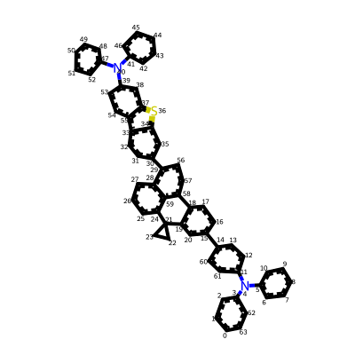 c1ccc(N(c2ccccc2)c2ccc(-c3ccc4c(c3)C3(CC3)c3cccc5c(-c6ccc7c(c6)sc6cc(N(c8ccccc8)c8ccccc8)ccc67)ccc-4c35)cc2)cc1